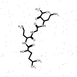 CC(C)CCC(O)C(=O)NC(CCN)C(=O)NCC(=O)NC(CCN)C(=O)C(C)C